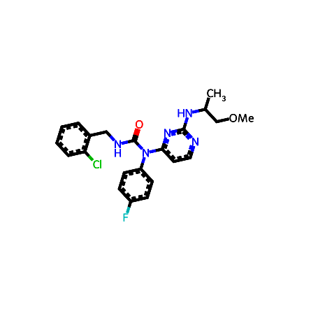 COCC(C)Nc1nccc(N(C(=O)NCc2ccccc2Cl)c2ccc(F)cc2)n1